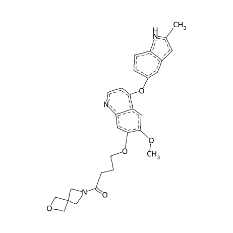 COc1cc2c(Oc3ccc4[nH]c(C)cc4c3)ccnc2cc1OCCCC(=O)N1CC2(COC2)C1